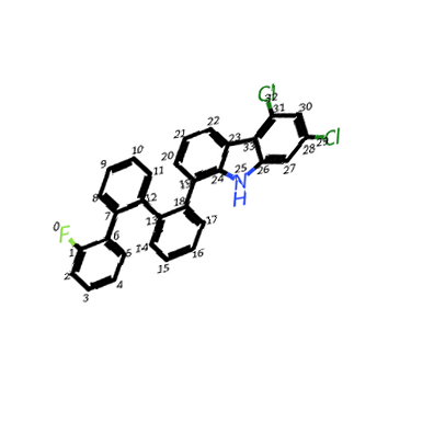 Fc1ccccc1-c1ccccc1-c1ccccc1-c1cccc2c1[nH]c1cc(Cl)cc(Cl)c12